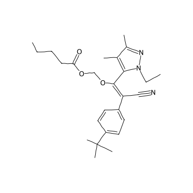 CCCCC(=O)OCO/C(=C(/C#N)c1ccc(C(C)(C)C)cc1)c1c(C)c(C)nn1CC